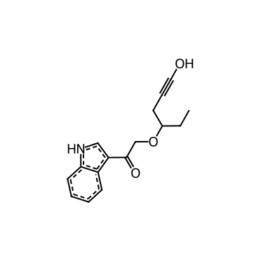 CCC(CC#CO)OCC(=O)c1c[nH]c2ccccc12